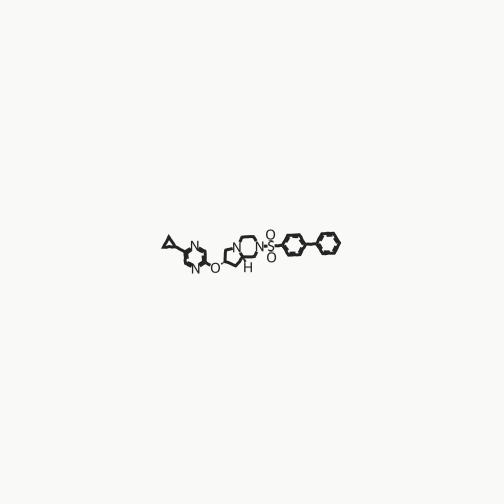 O=S(=O)(c1ccc(-c2ccccc2)cc1)N1CCN2C[C@@H](Oc3cnc(C4CC4)cn3)C[C@H]2C1